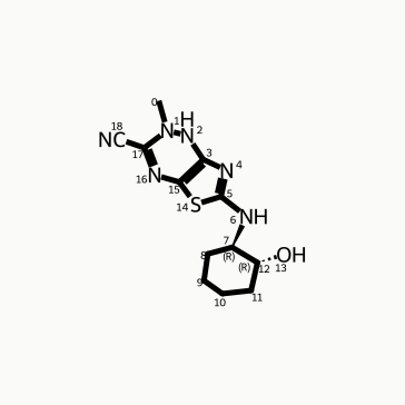 CN1Nc2nc(N[C@@H]3CCCC[C@H]3O)sc2N=C1C#N